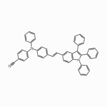 N#Cc1ccc(N(c2ccccc2)c2ccc(/C=C/c3ccc4c(c3)c(-c3ccccc3)c(-c3ccccc3)n4-c3ccccc3)cc2)cc1